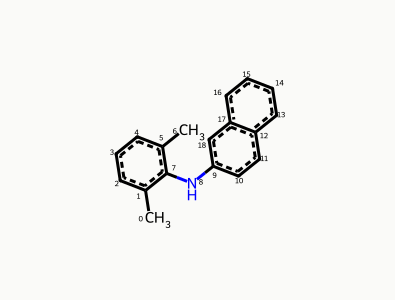 Cc1cccc(C)c1Nc1ccc2ccccc2c1